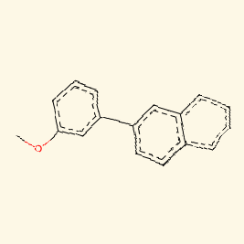 COc1cccc(-c2ccc3ccccc3c2)c1